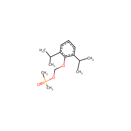 CC(C)c1cccc(C(C)C)c1OCOP(C)(C)=O